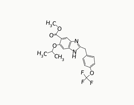 COC(=O)c1cc2nc(Cc3ccc(OC(F)(F)F)cc3)[nH]c2cc1OC(C)C